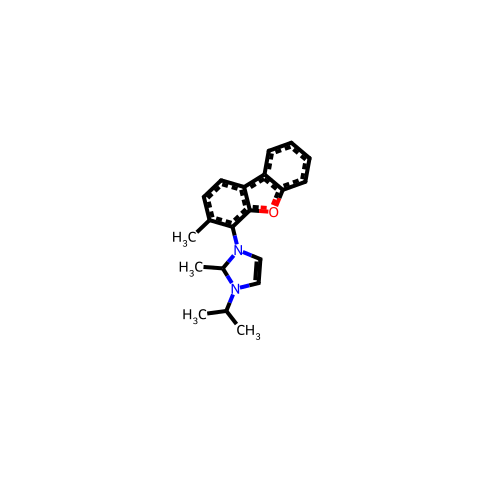 Cc1ccc2c(oc3ccccc32)c1N1C=CN(C(C)C)C1C